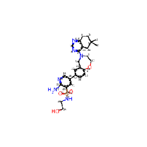 CC1(C)CCc2ncnc(N3CCOc4ccc(-c5cnc(N)c(S(=O)(=O)NCCO)c5)cc4C3)c2C1